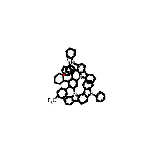 FC(F)(F)c1ccc(-c2c(-n3c4ccccc4c4ccc5c(c6ccccc6n5-c5ccccc5)c43)cc(-n3c4ccccc4c4ccc5c(c6ccccc6n5-c5ccccc5)c43)c(-c3ccc(C(F)(F)F)cc3)c2C2CCCCC2)cc1